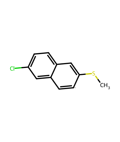 CSc1[c]cc2cc(Cl)ccc2c1